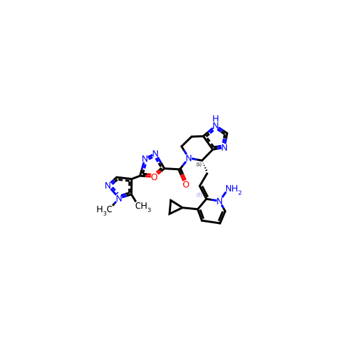 Cc1c(-c2nnc(C(=O)N3CCc4[nH]cnc4[C@@H]3C/C=C3/C(C4CC4)=CC=CN3N)o2)cnn1C